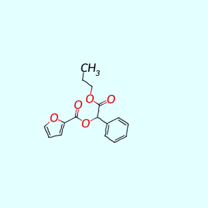 CCCOC(=O)C(OC(=O)c1ccco1)c1ccccc1